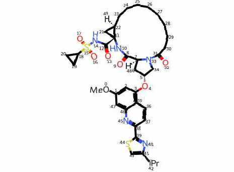 COc1cc(O[C@@H]2C[C@H]3C(=O)N[C@]4(C(=O)NS(=O)(=O)C5CC5)C[C@H]4CCCCCCCCC(=O)N3C2)c2ccc(-c3nc(C(C)C)cs3)nc2c1